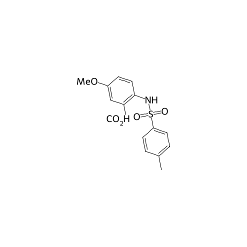 COc1ccc(NS(=O)(=O)c2ccc(C)cc2)c(C(=O)O)c1